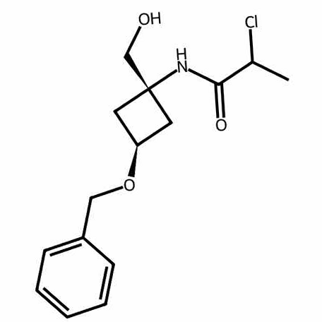 CC(Cl)C(=O)N[C@]1(CO)C[C@@H](OCc2ccccc2)C1